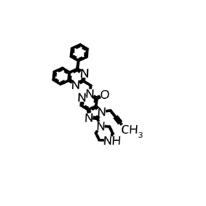 CC#CCn1c(N2CCNCC2)nc2cnn(Cc3nc(-c4ccccc4)c4ccccc4n3)c(=O)c21